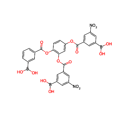 O=C(Oc1ccc(OC(=O)c2cccc(B(O)O)c2)c(OC(=O)c2cc(B(O)O)cc([N+](=O)[O-])c2)c1)c1cc(B(O)O)cc([N+](=O)[O-])c1